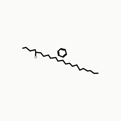 CCCCCCCCCCCCCCCCCC(Cl)CCCC.c1ccccc1